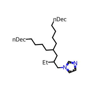 CCCCCCCCCCCCCCC(CCCCCCCCCCCCCC)C[C](CC)Cn1ccnc1